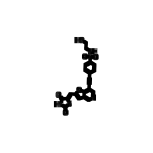 O=C1NC(=O)/C(=C/c2cc3cncc(C#Cc4ccc(S(=O)(=O)NCCO)cc4)c3o2)S1